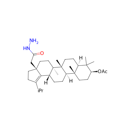 CC(=O)O[C@H]1CC[C@]2(C)[C@H]3CC[C@@H]4C5=C(C(C)C)CC[C@]5(CC(=O)NN)CC[C@@]4(C)[C@]3(C)CC[C@H]2C1(C)C